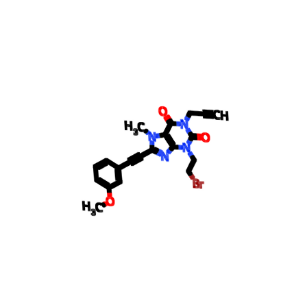 C#CCn1c(=O)c2c(nc(C#Cc3cccc(OC)c3)n2C)n(CCBr)c1=O